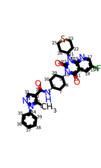 Cc1c(C(=O)N[C@H]2CC[C@@H](n3c(=O)c4cc(F)cnc4n(C4CCSCC4)c3=O)CC2)cnn1-c1ccccc1